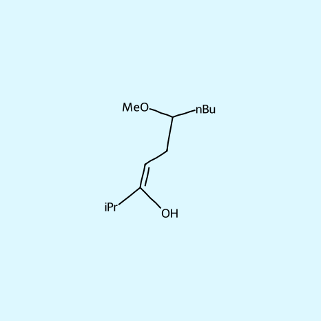 CCCCC(CC=C(O)C(C)C)OC